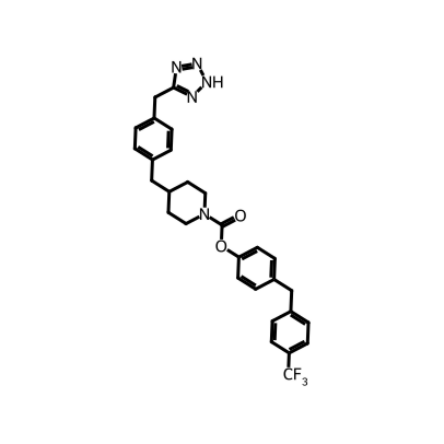 O=C(Oc1ccc(Cc2ccc(C(F)(F)F)cc2)cc1)N1CCC(Cc2ccc(Cc3nn[nH]n3)cc2)CC1